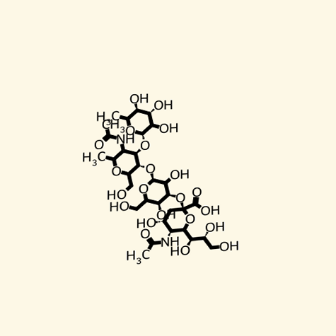 CC(=O)NC1C(C)OC(CO)[C@@H](O[C@@H]2OC(CO)[C@H](O)[C@H](O[C@]3(C(=O)O)C[C@@H](O)[C@@H](NC(C)=O)C([C@H](O)[C@H](O)CO)O3)C2O)[C@@H]1O[C@@H]1OC(C)[C@@H](O)[C@H](O)C1O